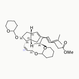 COC(=O)CCC=CC1=C[C@H]2C[C@@H](OC3CCCCO3)[C@@H](/C=C\[C@H](C[C@H](C)CCC=C(C)C)OC3CCCCO3)[C@H]2C1